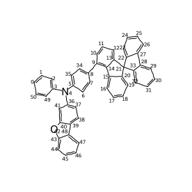 c1ccc(N(c2ccc(-c3cccc4c3-c3ccccc3C43c4ccccc4-c4ccccc43)cc2)c2ccc3c(c2)oc2ccccc23)cc1